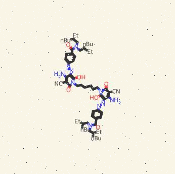 CCCCC(CC)CN(CC(CC)CCCC)C(=O)c1ccc(/N=N/c2c(N)c(C#N)c(=O)n(CCCCCCn3c(O)c(/N=N/c4ccc(C(=O)N(CC(CC)CCCC)CC(CC)CCCC)cc4)c(N)c(C#N)c3=O)c2O)cc1